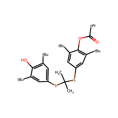 CCCC(=O)Oc1c(C(C)(C)C)cc(SC(C)(C)Sc2cc(C(C)(C)C)c(O)c(C(C)(C)C)c2)cc1C(C)(C)C